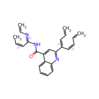 C=C/C=C\C(=C/C=C)c1cc(C(=O)NC(/C=C\C)=N/C=C)c2ccccc2n1